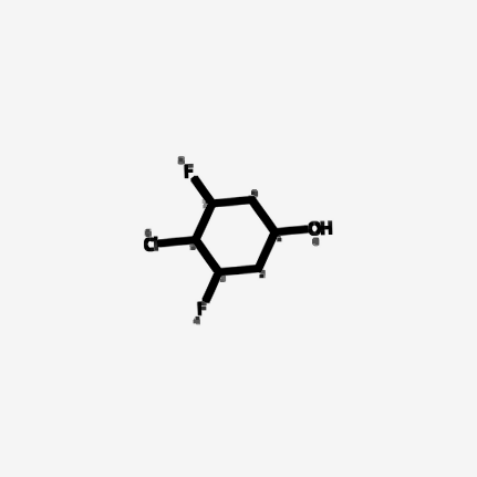 OC1CC(F)C(Cl)C(F)C1